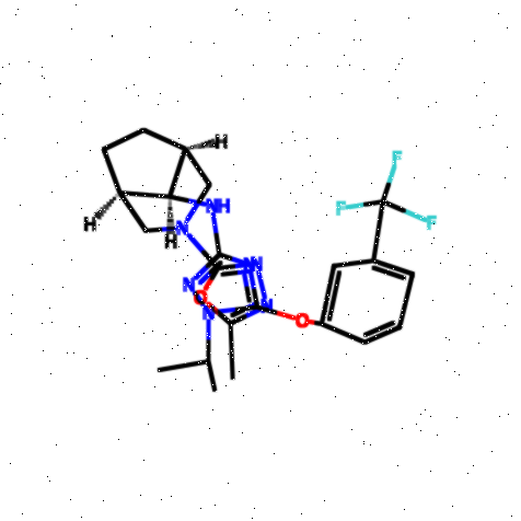 Cc1nnc(N2C[C@H]3CC[C@@H](C2)[C@H]3Nc2nc(Oc3cccc(C(F)(F)F)c3)n(C(C)C)n2)o1